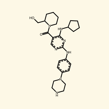 O=C(c1cnc(Nc2ccc(N3CCNCC3)cc2)nc1NC1CCCC1)N1CCCCC1CO